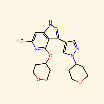 Cc1cc2[nH]nc(-c3cnn(C4CCOCC4)c3)c2c(OC2CCOCC2)n1